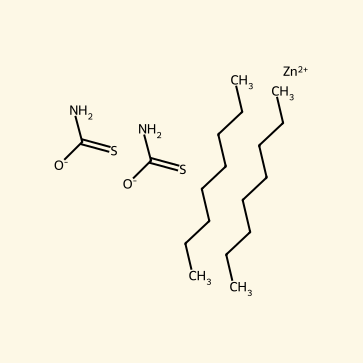 CCCCCCCC.CCCCCCCC.NC([O-])=S.NC([O-])=S.[Zn+2]